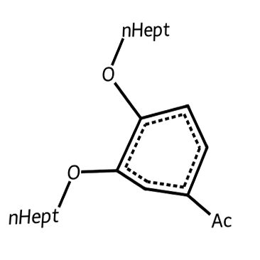 CCCCCCCOc1ccc(C(C)=O)cc1OCCCCCCC